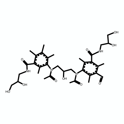 CC(=O)N(CC(O)CN(C(C)=O)c1c(C)c(C=O)c(C)c(C(=O)NCC(O)CO)c1C)c1c(C)c(C)c(C)c(C(=O)NCC(O)CO)c1C